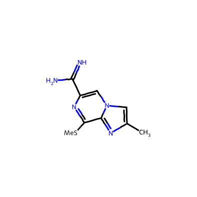 CSc1nc(C(=N)N)cn2cc(C)nc12